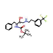 CC(C)(C)OC(=O)N[C@@H](Cc1ccccc1)[C@@H](O)CNCCc1cccc(C(F)(F)F)c1